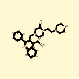 O=C(O)c1c(CN2CCN(CCN3CCOCC3)C(=O)C2)c(-c2ccccc2)nc2ccccc12